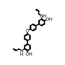 C=CCNc1cc(-c2ccc(Oc3ccc(-c4ccc(O)c(NCC=C)c4)cc3)cc2)ccc1O